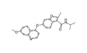 COc1ccc2c(Oc3ccc4c(C(=O)NC(C)C)c(C)oc4c3)ccnc2c1